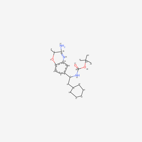 CC1Oc2ccc(C(CC3CCCCC3)NC(=O)OC(C)(C)C)cc2N=C1N